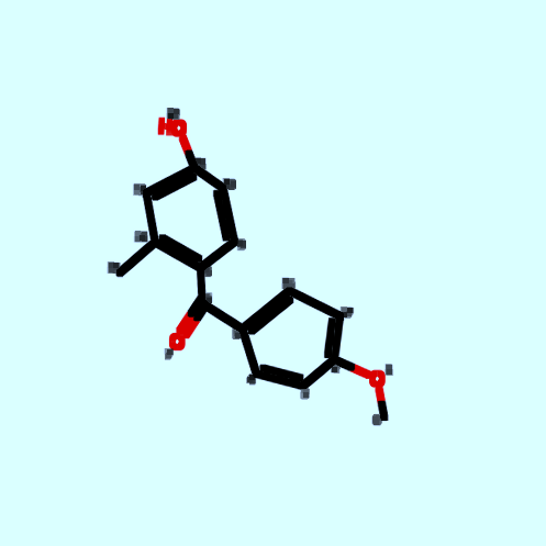 COc1ccc(C(=O)c2ccc(O)cc2C)cc1